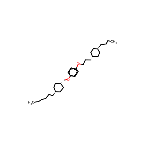 CCCCCC[C@H]1CC[C@H](COc2ccc(OCCC[C@H]3CC[C@H](CCCC)CC3)cc2)CC1